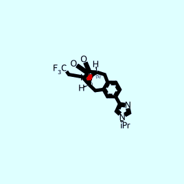 CC(C)n1cnc(-c2ccc3c(c2)C[C@H]2CC[C@@H](C3)[C@]23CN(CC(F)(F)F)S(=O)(=O)N3)c1